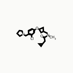 CN(CC1CC(Oc2ccc(CN3CCCC3)c(Cl)c2)C1)C(=O)CC1CC1